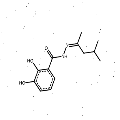 CC(CC(C)C)=NNC(=O)c1cccc(O)c1O